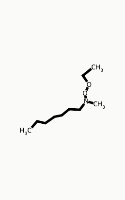 CCCCCCCN(C)OOCC